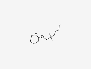 [CH2]CCCC(C)(C)COC1CCCCO1